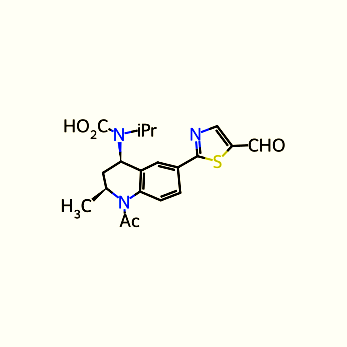 CC(=O)N1c2ccc(-c3ncc(C=O)s3)cc2[C@H](N(C(=O)O)C(C)C)C[C@@H]1C